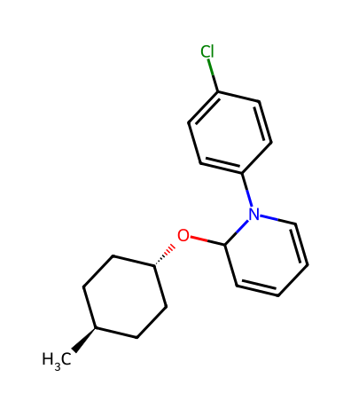 C[C@H]1CC[C@H](OC2C=CC=CN2c2ccc(Cl)cc2)CC1